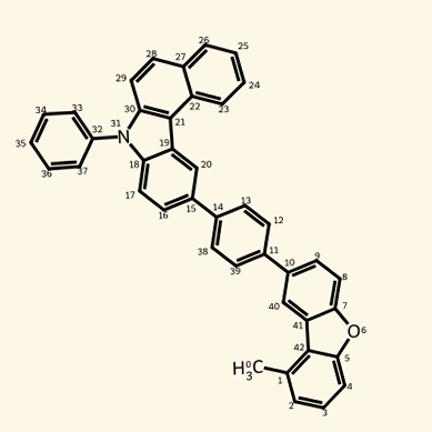 Cc1cccc2oc3ccc(-c4ccc(-c5ccc6c(c5)c5c7ccccc7ccc5n6-c5ccccc5)cc4)cc3c12